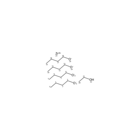 CCCC[O-].CCCC[O-].CCCC[O-].CCCC[O-].CCO.[Zr+4]